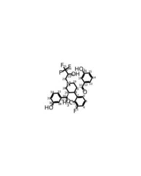 Cc1c(F)cccc1C1[C@@H](C(=O)c2cccc(O)c2)CN(CC(O)C(F)(F)F)C[C@@H]1C(=O)c1cccc(O)c1